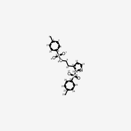 Cc1ccc(S(=O)(=O)OCCc2ccnn2S(=O)(=O)c2ccc(C)cc2)cc1